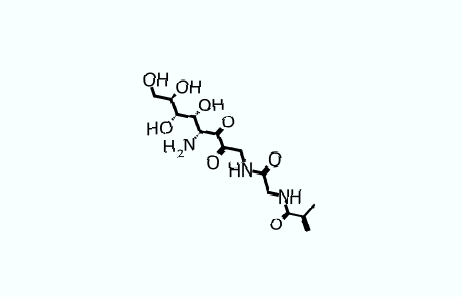 C=C(C)C(=O)NCC(=O)NCC(=O)C(=O)[C@H](N)[C@@H](O)[C@H](O)[C@H](O)CO